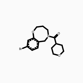 O=C(C1CCOCC1)N1CCCOc2cc(Br)ccc2C1